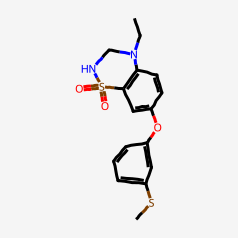 CCN1CNS(=O)(=O)c2cc(Oc3cccc(SC)c3)ccc21